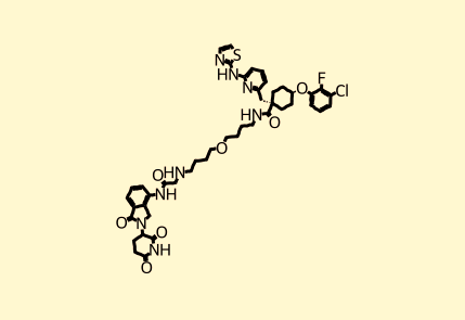 O=C1CCC(N2Cc3c(NC(=O)CNCCCCOCCCCNC(=O)[C@]4(Cc5cccc(Nc6nccs6)n5)CC[C@@H](Oc5cccc(Cl)c5F)CC4)cccc3C2=O)C(=O)N1